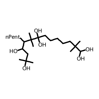 CCCCCC(C(O)CC(C)(C)O)C(C)(C)C(O)(O)CCCCCC(C)(C)C(O)O